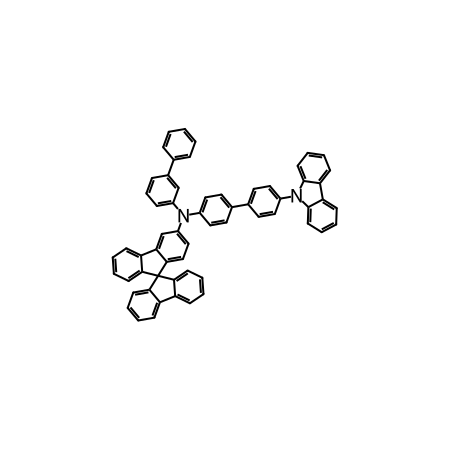 c1ccc(-c2cccc(N(c3ccc(-c4ccc(-n5c6ccccc6c6ccccc65)cc4)cc3)c3ccc4c(c3)-c3ccccc3C43c4ccccc4-c4ccccc43)c2)cc1